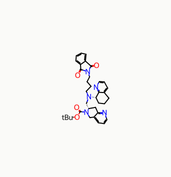 CC(C)(C)OC(=O)N1Cc2cccnc2C[C@H]1CN(CCCCN1C(=O)c2ccccc2C1=O)[C@H]1CCCc2cccnc21